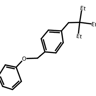 CCC(CC)(CC)Cc1ccc(COc2ccccc2)cc1